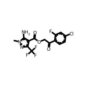 Cn1nc(C(F)(F)F)c(C(=O)OCC(=O)c2ccc(Cl)cc2F)c1N